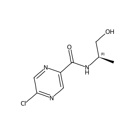 C[C@H](CO)NC(=O)c1cnc(Cl)cn1